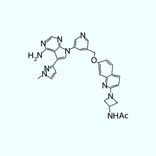 CC(=O)NC1CN(c2ccc3ccc(OCc4cncc(-n5cc(-c6ccn(C)n6)c6c(N)ncnc65)c4)cc3n2)C1